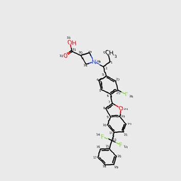 CCC(c1ccc(-c2cc3cc(C(F)(F)c4ccccc4)ccc3o2)c(F)c1)N1CC(C(=O)O)C1